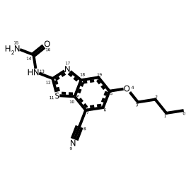 CCCCOc1cc(C#N)c2sc(NC(N)=O)nc2c1